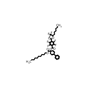 CCCCCCCCCCOC(=O)C1(OC(=O)c2c(F)c(F)c(C(=O)OC(CCCCCC)C(F)(F)F)c(F)c2F)C=CC(c2ccccc2)=CC1